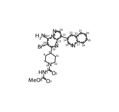 COC(=O)NC(=O)N1CCC(c2nc3c(-c4cnc5ccccc5c4)cnn3c(N)c2Br)CC1